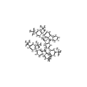 N#Cc1cc(-c2cc(-n3c4ccccc4c4ccc(-c5ccc(C(F)(F)F)cc5C(F)(F)F)cc43)c(C#N)cc2-n2c3ccccc3c3ccc(-c4ccc(C(F)(F)F)cc4C(F)(F)F)cc32)cc(C(F)(F)F)c1